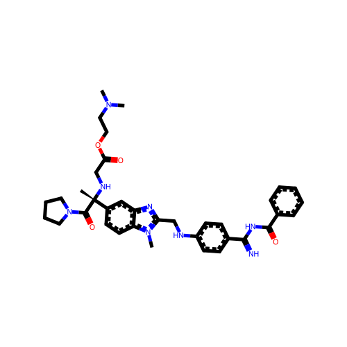 CN(C)CCOC(=O)CN[C@@](C)(C(=O)N1CCCC1)c1ccc2c(c1)nc(CNc1ccc(C(=N)NC(=O)c3ccccc3)cc1)n2C